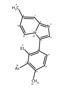 CCc1c(-c2cnc3cc(C)ccn23)ccc(C)c1C(C)=O